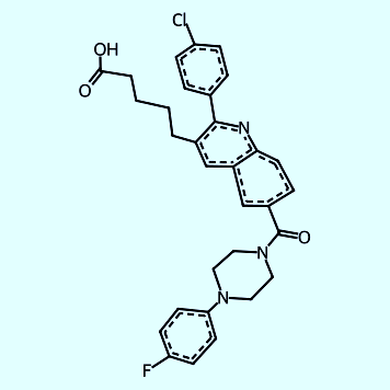 O=C(O)CCCCc1cc2cc(C(=O)N3CCN(c4ccc(F)cc4)CC3)ccc2nc1-c1ccc(Cl)cc1